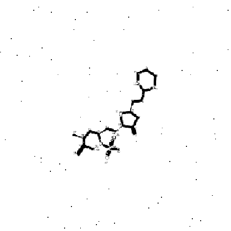 C=C1C[C@H](CCC2SCCCS2)O[C@H]1CC[C@H](C[C@H](C)C(=C)I)OS(C)(=O)=O